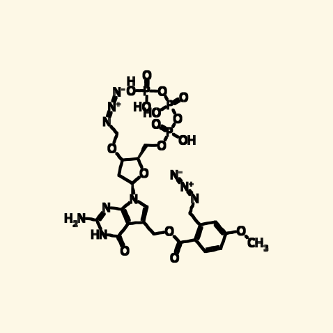 COc1ccc(C(=O)OCc2cn([C@H]3CC(OCN=[N+]=[N-])[C@@H](COP(=O)(O)OP(=O)(O)OP(=O)(O)O)O3)c3nc(N)[nH]c(=O)c23)c(CN=[N+]=[N-])c1